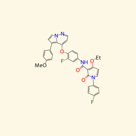 CCOc1ccn(-c2ccc(F)cc2)c(=O)c1C(=O)Nc1ccc(Oc2ccnn3ccc(-c4ccc(OC)cc4)c23)c(F)c1